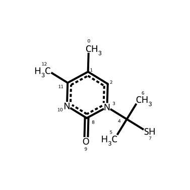 Cc1cn(C(C)(C)S)c(=O)nc1C